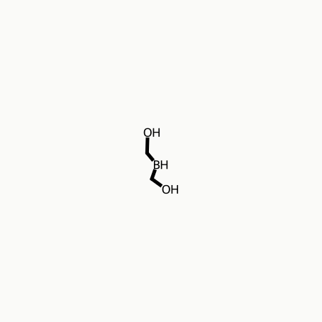 OCBCO